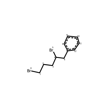 BrCCCC(Br)Cc1ccccc1